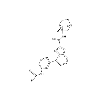 CC(C)C(=O)Nc1cccc(-c2cccc3cc(C(=O)N[C@H]4CN5CCC4CC5)sc23)c1